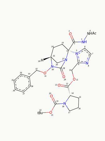 CC(=O)NNC(=O)[C@]1(n2ccnc2COC(=O)[C@@H]2CCCN2C(=O)OC(C)(C)C)CC[C@@H]2CN1C(=O)N2OCc1ccccc1